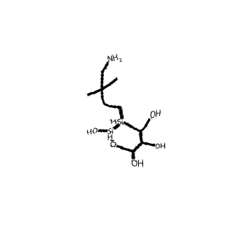 CC(C)(CN)CC[SiH]1C(O)C(O)C(O)O[SiH]1O